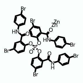 O=C(Nc1ccc(Br)cc1)c1cc(Br)ccc1OP(=O)(Oc1ccc(Br)cc1C(=O)Nc1ccc(Br)cc1)Oc1ccc(Br)cc1C(=O)Nc1ccc(Br)cc1.[Zn].[Zn]